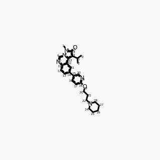 CC(C)c1c(=O)n(C)n2cnc3ccc(-c4ccc(OCCCN5CCCCC5)nc4)cc3c12